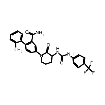 Cc1ccccc1-c1ccc(N2CCCC(NC(=O)Nc3ccc(C(F)(F)F)cc3)C2=O)cc1C(N)=O